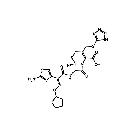 Nc1nc(C(=NOC2CCCC2)C(=O)NC2C(=O)N3C(C(=O)O)=C(CSc4nnn[nH]4)CS[C@@H]23)cs1